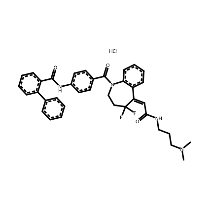 CN(C)CCCNC(=O)C=C1c2ccccc2N(C(=O)c2ccc(NC(=O)c3ccccc3-c3ccccc3)cc2)CCC1(F)F.Cl